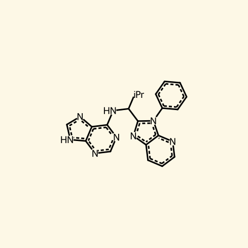 CC(C)C(Nc1ncnc2[nH]cnc12)c1nc2cccnc2n1-c1ccccc1